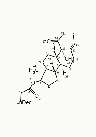 CCCCCCCCCCCC(=O)OC1CC[C@H]2[C@@H]3CCC4=CCCC(=O)[C@]4(C)[C@H]3CC[C@]12C